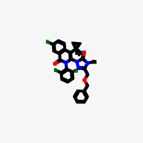 CCn1c(COCc2ccccc2)nn(-c2c(C3(C)CC3)c3ccc(F)cc3c(=O)n2-c2c(F)cccc2Cl)c1=O